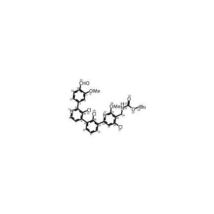 COc1cc(-c2nccc(-c3cccc(-c4cc(Cl)c(CNC(=O)OC(C)(C)C)c(OC)n4)c3Cl)c2Cl)ccc1C=O